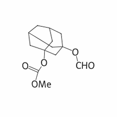 COC(=O)OC12CC3CC(CC(OC=O)(C3)C1)C2